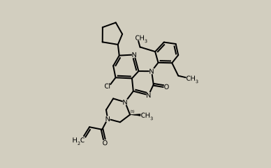 C=CC(=O)N1CCN(c2nc(=O)n(-c3c(CC)cccc3CC)c3nc(C4CCCC4)cc(Cl)c23)[C@@H](C)C1